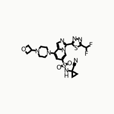 N#CC1(NS(=O)(=O)c2cc(N3CCN(C4COC4)CC3)c3cnc(-c4nnc(C(F)F)s4)n3c2)CC1